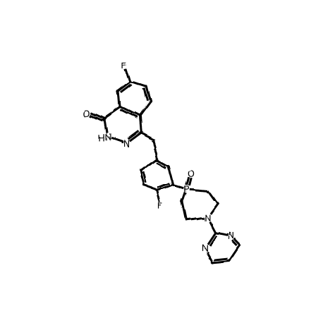 O=c1[nH]nc(Cc2ccc(F)c(P3(=O)CCN(c4ncccn4)CC3)c2)c2ccc(F)cc12